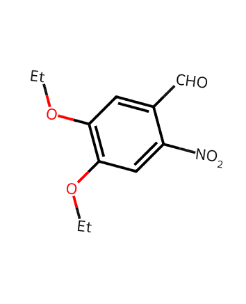 CCOc1cc(C=O)c([N+](=O)[O-])cc1OCC